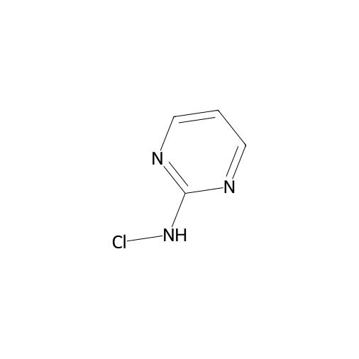 ClNc1ncccn1